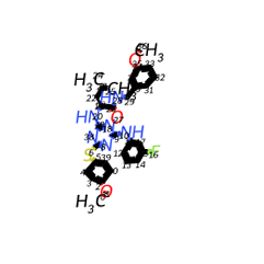 COc1ccc(Sc2nc(Nc3cccc(F)c3)nc(N[C@@H](CC(C)C)C(=O)NCc3cccc(OC)c3)n2)cc1